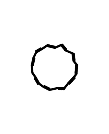 [C]1=C/C=C/C=C/C=C/C=C\C=C\C=C\C=C\C=C\C=C/C/1